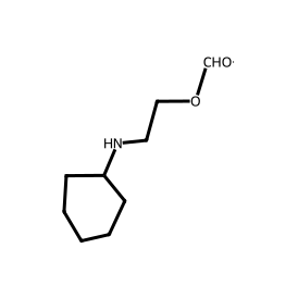 O=[C]OCCNC1CCCCC1